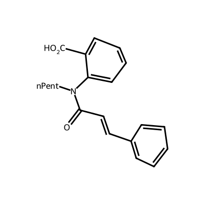 CCCCCN(C(=O)C=Cc1ccccc1)c1ccccc1C(=O)O